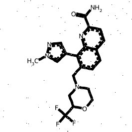 Cn1cc(-c2c(CN3CCOC(C(F)(F)F)C3)ccc3ccc(C(N)=O)nc23)cn1